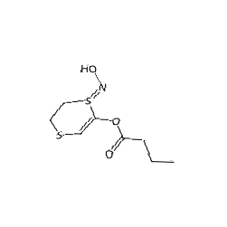 CCCC(=O)OC1=CSCCS1=NO